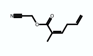 C=CCC=C(C)C(=O)OCC#N